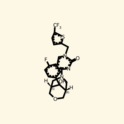 O=c1nc(N2C[C@H]3COC[C@@H](C2)C3(O)c2ccc(F)cc2)ncn1Cc1ccc(C(F)(F)F)s1